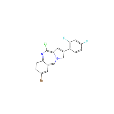 Fc1ccc(C2=CC3=C(Cl)N=C4CCC(Br)=CC4=CN3C2)c(F)c1